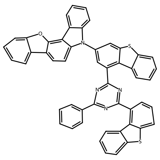 c1ccc(-c2nc(-c3cccc4sc5ccccc5c34)nc(-c3cc(-n4c5ccccc5c5c6oc7ccccc7c6ccc54)cc4sc5ccccc5c34)n2)cc1